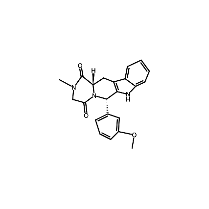 COc1cccc([C@H]2c3[nH]c4ccccc4c3C[C@H]3C(=O)N(C)CC(=O)N23)c1